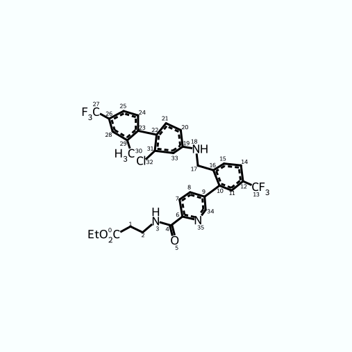 CCOC(=O)CCNC(=O)c1ccc(-c2cc(C(F)(F)F)ccc2CNc2ccc(-c3ccc(C(F)(F)F)cc3C)c(Cl)c2)cn1